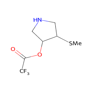 CSC1CNCC1OC(=O)C(F)(F)F